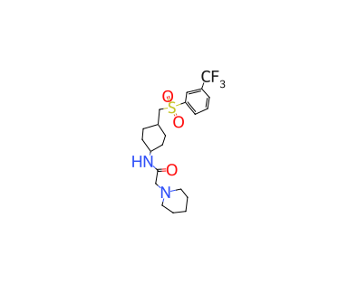 O=C(CN1CCCCC1)NC1CCC(CS(=O)(=O)c2cccc(C(F)(F)F)c2)CC1